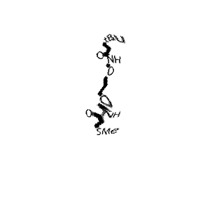 CSCCC(=O)NCOCCCOCNC(=O)CCC(C)(C)C